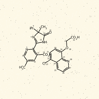 Cc1cnc(C2=NC(C)(C(C)C)C(=O)N2)c(C(=O)O)c1.O=C(O)COc1ccc(Cl)c2cccnc12